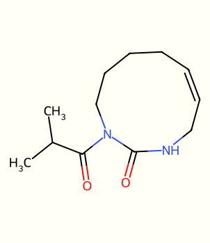 CC(C)C(=O)N1CCCC/C=C\CNC1=O